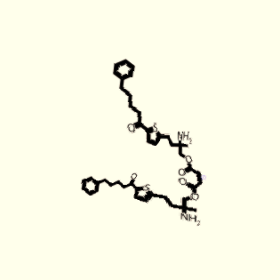 CC(N)(CCc1ccc(C(=O)CCCCc2ccccc2)s1)COC(=O)/C=C\C(=O)OCC(C)(N)CCc1ccc(C(=O)CCCCc2ccccc2)s1